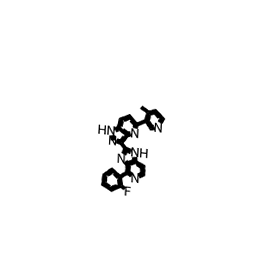 Cc1ccncc1-c1ccc2[nH]nc(-c3nc4c(-c5ccccc5F)nccc4[nH]3)c2n1